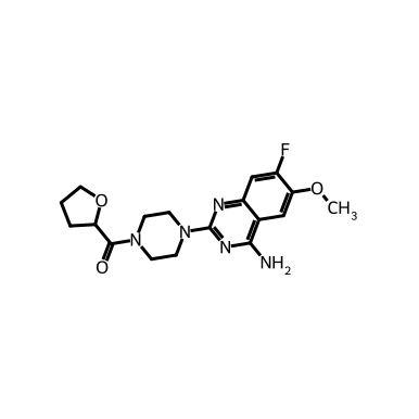 COc1cc2c(N)nc(N3CCN(C(=O)C4CCCO4)CC3)nc2cc1F